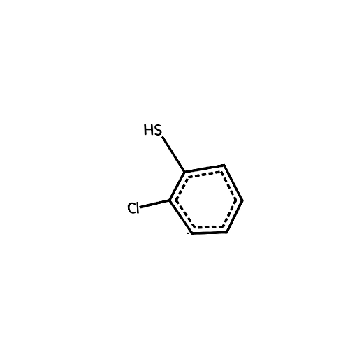 Sc1ccc[c]c1Cl